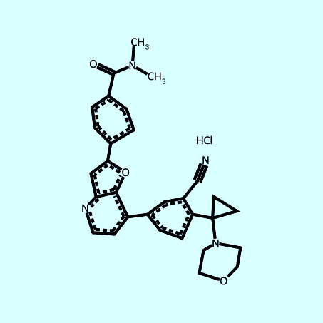 CN(C)C(=O)c1ccc(-c2cc3nccc(-c4ccc(C5(N6CCOCC6)CC5)c(C#N)c4)c3o2)cc1.Cl